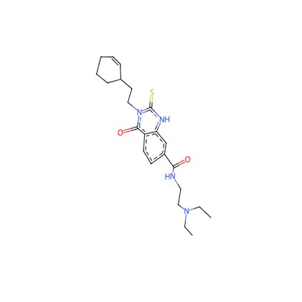 CCN(CC)CCNC(=O)c1ccc2c(=O)n(CCC3C=CCCC3)c(=S)[nH]c2c1